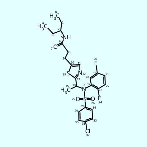 CCC(CC)NC(=O)CCc1cnc(C(C)N(c2cc(F)ccc2F)S(=O)(=O)c2ccc(Cl)cc2)s1